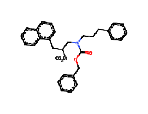 CCOC(=O)C(Cc1cccc2ccccc12)CN(CCCc1ccccc1)C(=O)OCc1ccccc1